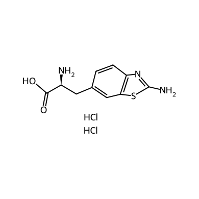 Cl.Cl.Nc1nc2ccc(C[C@H](N)C(=O)O)cc2s1